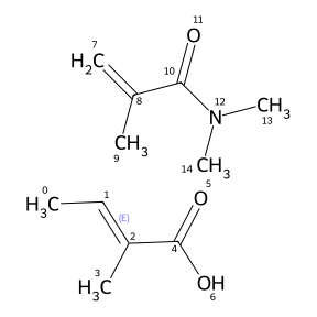 C/C=C(\C)C(=O)O.C=C(C)C(=O)N(C)C